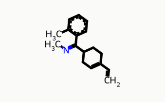 C=CC1=CCC(/C(=N/C)c2ccccc2C)CC1